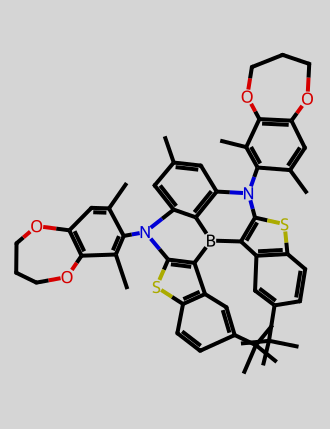 Cc1cc2c3c(c1)N(c1c(C)cc4c(c1C)OCCCO4)c1sc4ccc(C(C)(C)C)cc4c1B3c1c(sc3ccc(C(C)(C)C)cc13)N2c1c(C)cc2c(c1C)OCCCO2